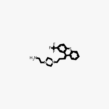 NCCN1CCN(CC/C=C2/c3ccccc3Sc3ccc(C(F)(F)F)cc32)CC1